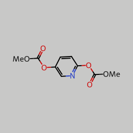 COC(=O)Oc1ccc(OC(=O)OC)nc1